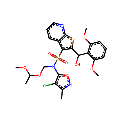 COc1cccc(OC)c1C(O)c1sc2ncccc2c1S(=O)(=O)N(COC(C)OC)c1onc(C)c1Cl